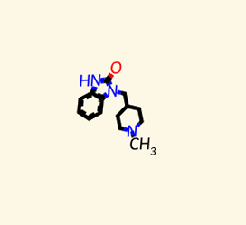 CN1CCC(Cn2c(=O)[nH]c3ccccc32)CC1